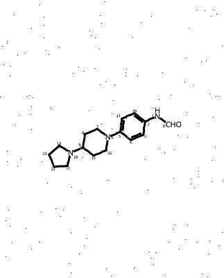 O=CNc1ccc(N2CCC(N3CCCC3)CC2)cc1